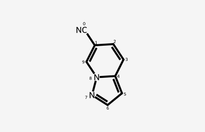 N#Cc1ccc2ccnn2c1